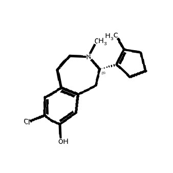 CC1=C([C@@H]2Cc3cc(O)c(Cl)cc3CCN2C)CCC1